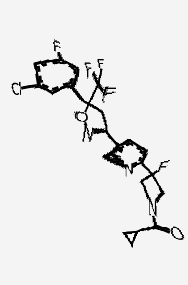 O=C(C1CC1)N1CC(F)(c2ccc(C3=NOC(c4cc(F)cc(Cl)c4)(C(F)(F)F)C3)cn2)C1